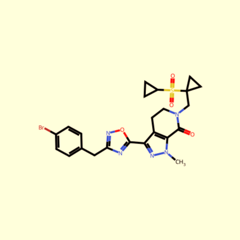 Cn1nc(-c2nc(Cc3ccc(Br)cc3)no2)c2c1C(=O)N(CC1(S(=O)(=O)C3CC3)CC1)CC2